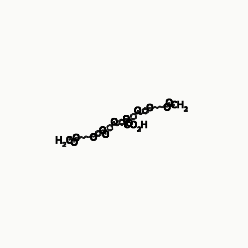 C=CC(=O)OCCCCCCOc1ccc(CC(=O)[C@H]2CC[C@H](C(=O)Oc3ccc(CC(=O)[C@H]4CC[C@H](C(=O)Oc5ccc(OCCCCCCOC(=O)C=C)cc5)CC4)cc3C(=O)O)CC2)cc1